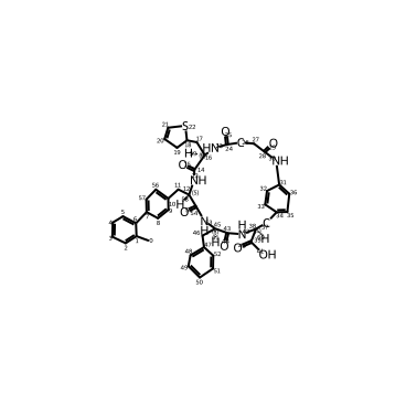 Cc1ccccc1-c1ccc(C[C@@H]2NC(=O)[C@@H](CC3CC=CS3)NC(=O)CCC(=O)Nc3ccc(cc3)C[C@@H](C(=O)O)NC(=O)[C@@H](Cc3ccccc3)NC2=O)cc1